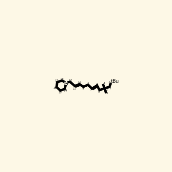 CC(C)(C)CC(C)(C)CC=CCCC=CCN1CCCCC1